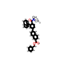 CN(C)C(=O)c1ccc(-c2ccc3cc(C(=O)OCc4ccccc4)ccc3c2)cc1C12CC3CC(CC(C3)C1)C2